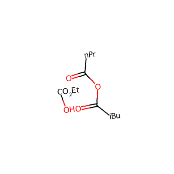 CCCC(=O)OC(=O)C(C)CC.CCOC(=O)O